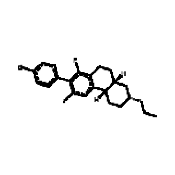 CCC[C@@H]1CC[C@@H]2c3cc(F)c(-c4ccc(Cl)cc4)c(F)c3CC[C@@H]2C1